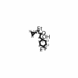 CCN(C(=O)CC1(O)CCC(F)(F)CC1)C1CC1